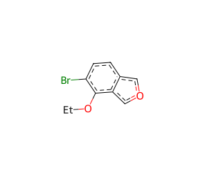 CCOc1c(Br)ccc2cocc12